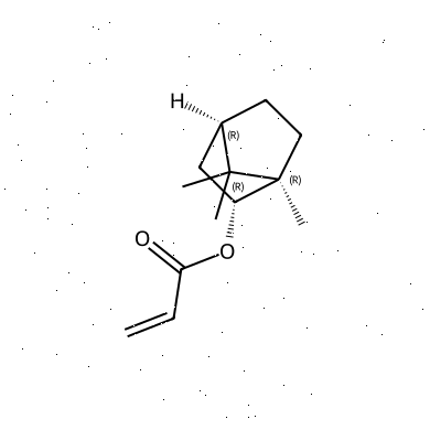 C=CC(=O)O[C@@H]1C[C@H]2CC[C@]1(C)C2(C)C